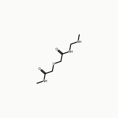 CNCNC(=O)COCC(=O)NC